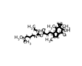 CCN/C(=N\CCCN(C)C)OC(=O)CCC1=C(C)C=C2C(=O)[C@](C)(O)C3(CC3)C(C)=C21